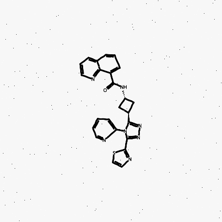 O=C(N[C@H]1C[C@H](c2nnc(-c3nccs3)n2-c2ccccn2)C1)c1cccc2cccnc12